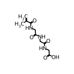 C=C(C)C(=O)NCC(=O)NCC(=O)NCC(=O)O